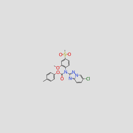 COc1cc(S(C)(=O)=O)ccc1N(C(=O)Oc1ccc(C)cc1)c1nc2ccc(Cl)cn2n1